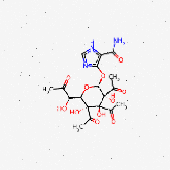 CC(=O)C(O)[C@H]1O[C@@H](Oc2nc[nH]c2C(N)=O)[C@@](O)(C(C)=O)[C@](O)(C(C)=O)[C@@]1(O)C(C)=O